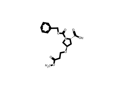 COC(=O)CCO[C@@H]1C[C@@H](C(=O)O)N(C(=O)OCc2ccccc2)C1